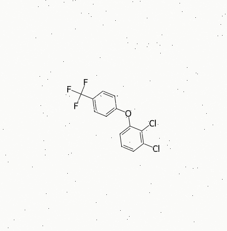 FC(F)(F)c1c[c]c(Oc2cccc(Cl)c2Cl)cc1